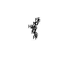 C[C@@H](NC(=O)c1ccc(C(F)(F)F)cn1)c1cnc(OCC(F)(F)F)cn1